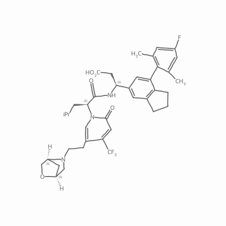 Cc1cc(F)cc(C)c1-c1cc([C@H](CC(=O)O)NC(=O)[C@H](CC(C)C)n2cc(CCN3C[C@@H]4C[C@H]3CO4)c(C(F)(F)F)cc2=O)cc2c1CCC2